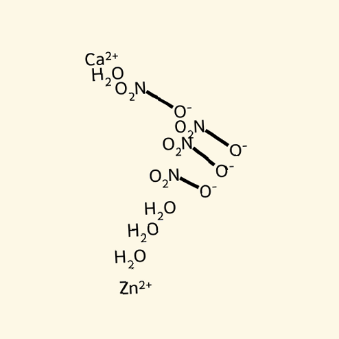 O.O.O.O.O=[N+]([O-])[O-].O=[N+]([O-])[O-].O=[N+]([O-])[O-].O=[N+]([O-])[O-].[Ca+2].[Zn+2]